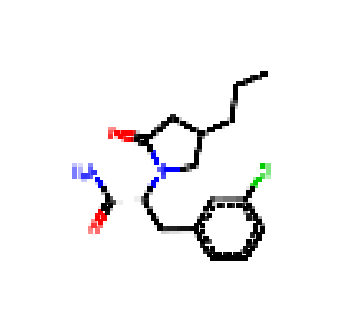 CCCC1CC(=O)N(C(Cc2cccc(Cl)c2)C(N)=O)C1